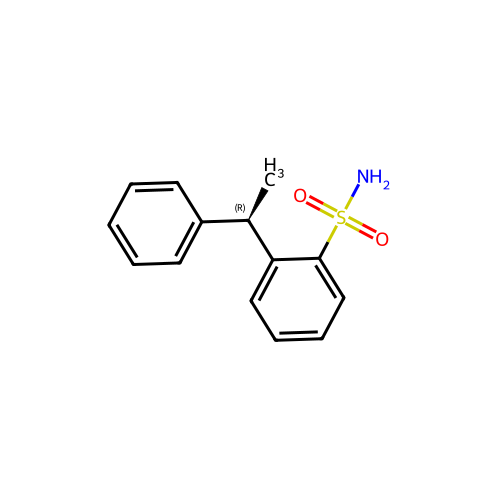 C[C@H](c1ccccc1)c1ccccc1S(N)(=O)=O